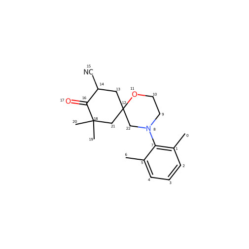 Cc1cccc(C)c1N1CCOC2(CC(C#N)C(=O)C(C)(C)C2)C1